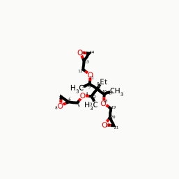 CCC(C(C)OCC1CO1)(C(C)OCC1CO1)C(C)OCC1CO1